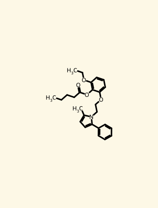 CCCCC(=O)Oc1c(OCC)cccc1OCCn1c(C)ccc1-c1ccccc1